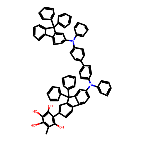 Cc1c(O)c(O)c(O)c(-c2ccc3c(c2)C(c2ccccc2)(c2ccccc2)c2cc(N(c4ccccc4)c4ccc(-c5ccc(N(c6ccccc6)c6ccc7c(c6)C(c6ccccc6)(c6ccccc6)c6ccccc6-7)cc5)cc4)ccc2-3)c1O